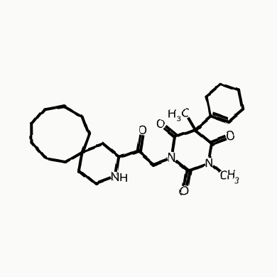 CN1C(=O)N(CC(=O)C2CC3(CCCCCCCC3)CCN2)C(=O)C(C)(C2=CCCCC2)C1=O